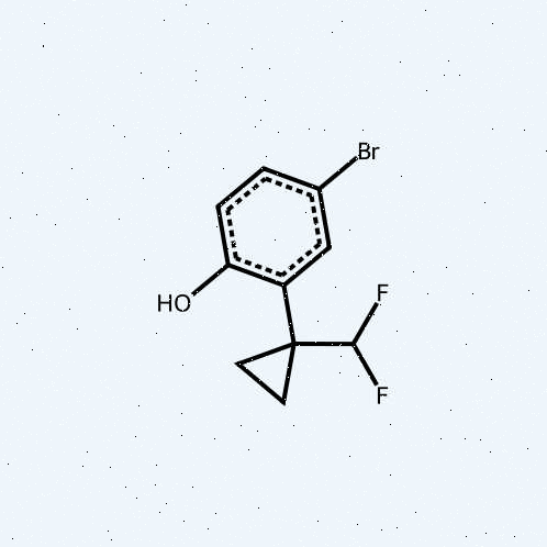 Oc1ccc(Br)cc1C1(C(F)F)CC1